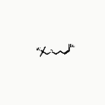 CC(C)(C)/C=C\CCOC[C](C)(C)[W]